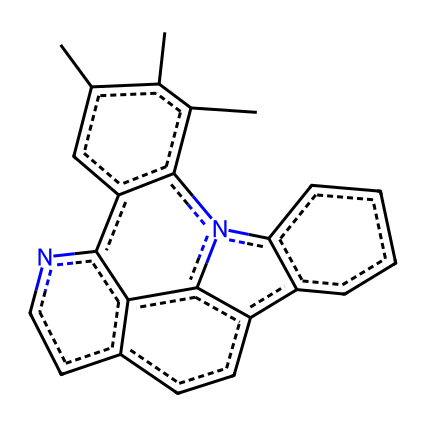 Cc1cc2c3nccc4ccc5c6ccccc6n(c2c(C)c1C)c5c43